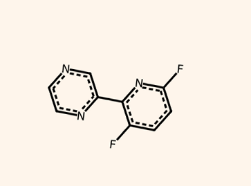 Fc1ccc(F)c(-c2cnccn2)n1